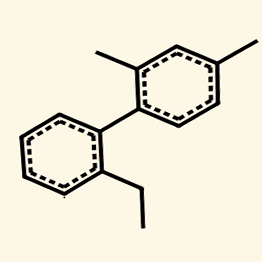 CCc1[c]cccc1-c1ccc(C)cc1C